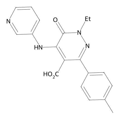 CCn1nc(-c2ccc(C)cc2)c(C(=O)O)c(Nc2cccnc2)c1=O